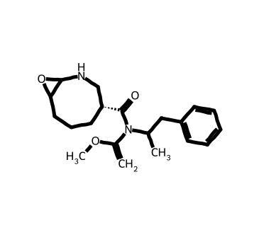 C=C(OC)N(C(=O)[C@@H]1CCCC2OC2NC1)C(C)Cc1ccccc1